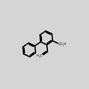 C=Cc1c(-c2ccccc2)cccc1S(=O)(=O)O